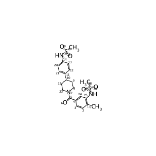 Cc1ccc(C(=O)N2CCC(c3ccc(NS(C)(=O)=O)cc3)CC2)cc1NS(C)(=O)=O